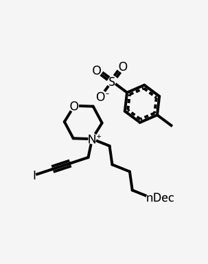 CCCCCCCCCCCCCC[N+]1(CC#CI)CCOCC1.Cc1ccc(S(=O)(=O)[O-])cc1